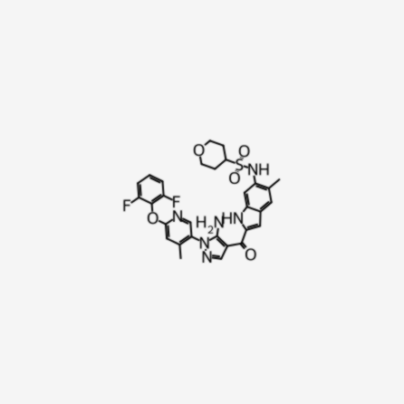 Cc1cc2cc(C(=O)c3cnn(-c4cnc(Oc5c(F)cccc5F)cc4C)c3N)[nH]c2cc1NS(=O)(=O)C1CCOCC1